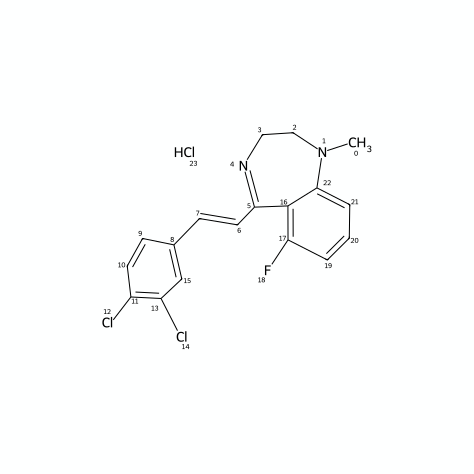 CN1CCN=C(/C=C/c2ccc(Cl)c(Cl)c2)c2c(F)cccc21.Cl